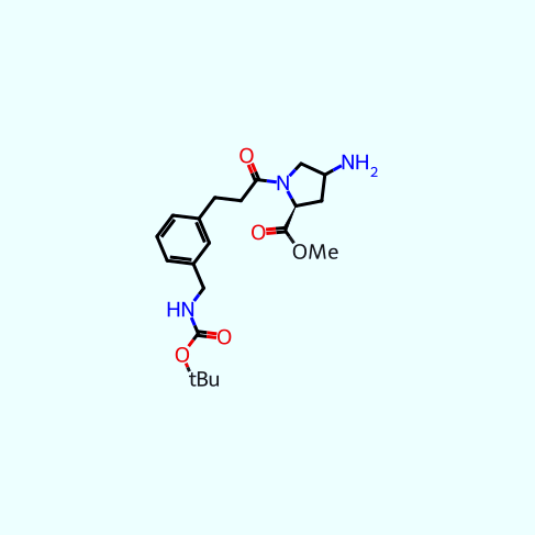 COC(=O)[C@@H]1CC(N)CN1C(=O)CCc1cccc(CNC(=O)OC(C)(C)C)c1